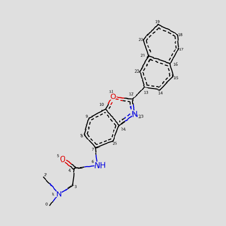 CN(C)CC(=O)Nc1ccc2oc(-c3ccc4ccccc4c3)nc2c1